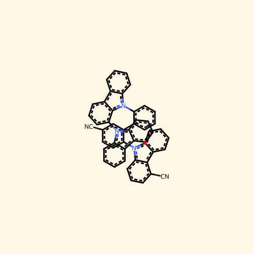 N#Cc1ccc(-n2c3ccccc3c3c(C#N)cccc32)c(-c2ccccc2-n2c3ccccc3c3cccc(-n4c5ccccc5c5ccccc54)c32)c1